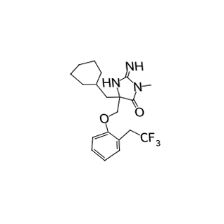 CN1C(=N)NC(COc2ccccc2CC(F)(F)F)(CC2CCCCC2)C1=O